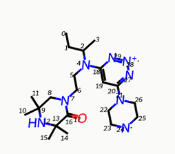 CCC(C)N(CCN1CC(C)(C)NC(C)(C)C1=O)C1=CC(N2CC[N]CC2)=N[N+]=N1